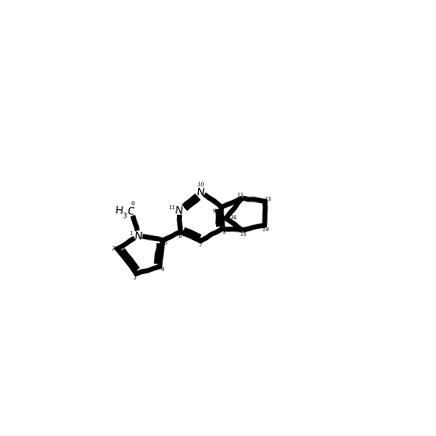 Cn1cccc1-c1cc2c(nn1)C1CCC2C1